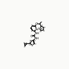 CC(Oc1cccc(NC(=O)Nc2csc(C3CC3)n2)n1)C1CCCN1